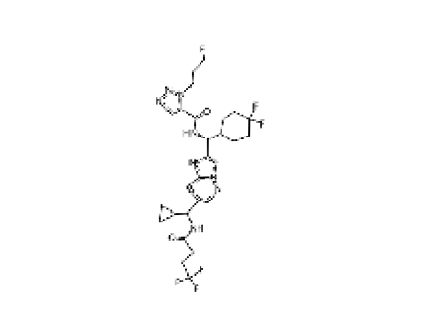 O=C(CCC(F)(F)F)NC(c1cnn2cc([C@@H](NC(=O)c3cnnn3CCCF)C3CCC(F)(F)CC3)nc2c1)C1CC1